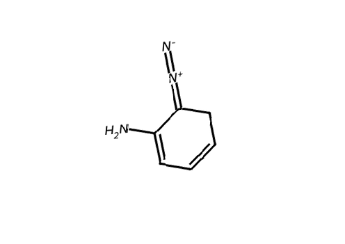 [N-]=[N+]=C1CC=CC=C1N